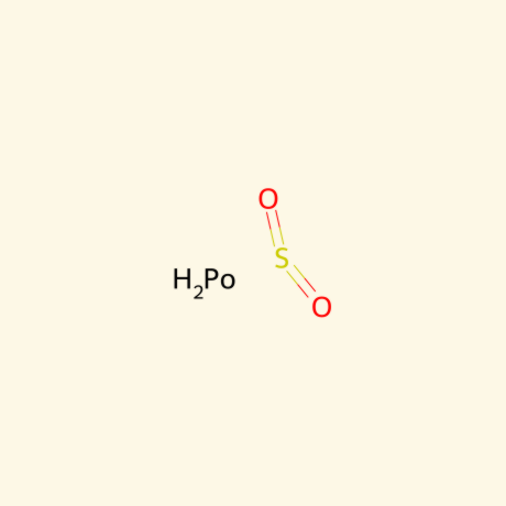 O=S=O.[PoH2]